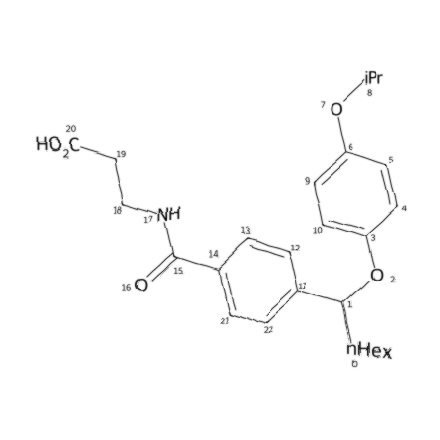 CCCCCCC(Oc1ccc(OC(C)C)cc1)c1ccc(C(=O)NCCC(=O)O)cc1